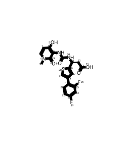 Cn1ccc(O)c(NC(=O)N[C@@H](CC(=O)O)c2cc(-c3ccc(F)cc3F)cs2)c1=O